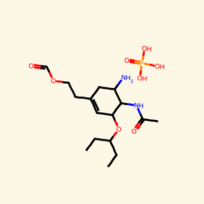 CCC(CC)OC1C=C(CCOC=O)CC(N)C1NC(C)=O.O=P(O)(O)O